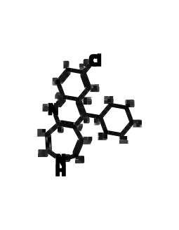 Clc1ccc2nc3c(c(C4CCCCC4)c2c1)C=CNC=C3